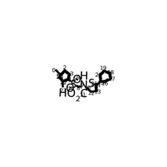 Cc1ccc(S(=O)(=O)CNC2(C(=O)O)CC=C(c3ccccc3)S2)c(C)c1